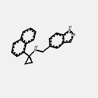 c1ccc2c(C3(NCc4ccc5[nH]ncc5c4)CC3)cccc2c1